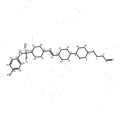 C=CCCCC1CCC(C2CCC(/C=C/C3CCC(C(F)(F)Oc4ccc(F)cc4)CC3)CC2)CC1